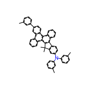 Cc1cccc(-c2ccc3c(c2)c2ccccc2c2c4c(c5ccccc5c32)-c2ccc(N(c3cccc(C)c3)c3cccc(C)c3)cc2C4(C)C)c1